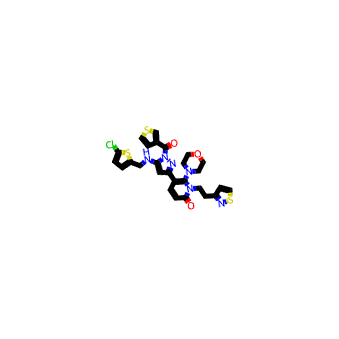 O=C(c1ccsc1)n1nc(-c2ccc(=O)n(CCc3ccsn3)c2N2CCOCC2)cc1NCc1ccc(Cl)s1